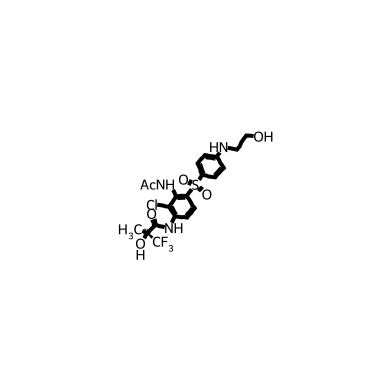 CC(=O)Nc1c(S(=O)(=O)c2ccc(NCCO)cc2)ccc(NC(=O)[C@@](C)(O)C(F)(F)F)c1Cl